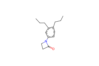 CCCc1ccc(N2CCC2=O)cc1CCC